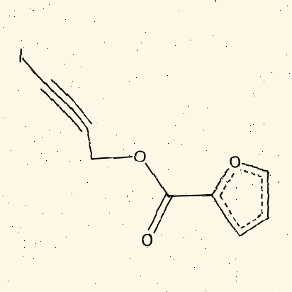 O=C(OCC#CI)c1ccco1